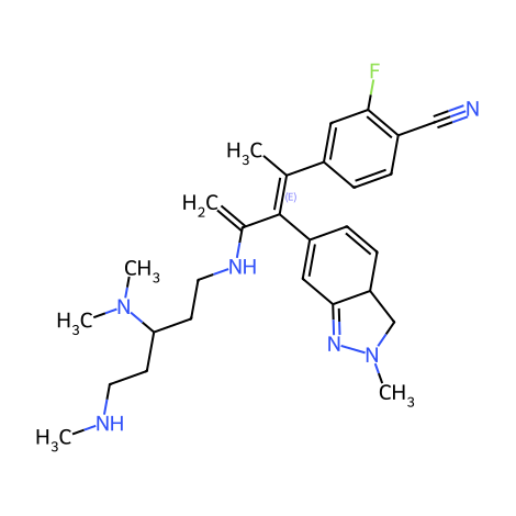 C=C(NCCC(CCNC)N(C)C)/C(C1=CC2=NN(C)CC2C=C1)=C(\C)c1ccc(C#N)c(F)c1